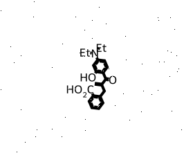 C=C(Cc1ccccc1C(=O)O)C(=O)c1ccc(N(CC)CC)cc1O